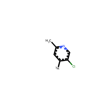 [2H]c1cc(C)ncc1Cl